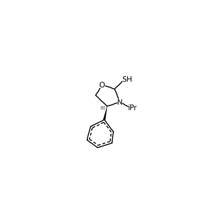 CC(C)N1C(S)OC[C@@H]1c1ccccc1